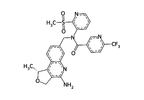 C[C@H]1OCc2c(N)nc3cc(CN(C(=O)c4ccc(C(F)(F)F)nc4)c4cccnc4S(C)(=O)=O)ccc3c21